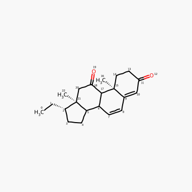 CC[C@H]1CCC2C3C=CC4=CC(=O)CC[C@]4(C)C3C(=O)C[C@@]21C